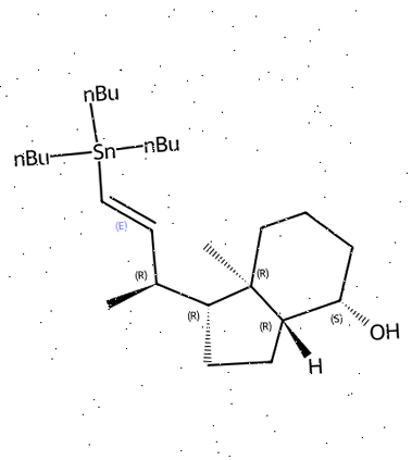 CCC[CH2][Sn](/[CH]=C/[C@H](C)[C@H]1CC[C@H]2[C@@H](O)CCC[C@]12C)([CH2]CCC)[CH2]CCC